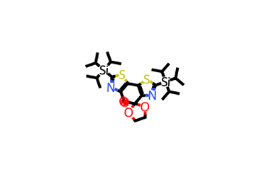 CC(C)[Si](c1nc2c(s1)-c1sc([Si](C(C)C)(C(C)C)C(C)C)nc1C1(OCCO1)C21OCCO1)(C(C)C)C(C)C